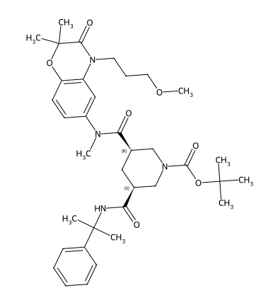 COCCCN1C(=O)C(C)(C)Oc2ccc(N(C)C(=O)[C@@H]3C[C@H](C(=O)NC(C)(C)c4ccccc4)CN(C(=O)OC(C)(C)C)C3)cc21